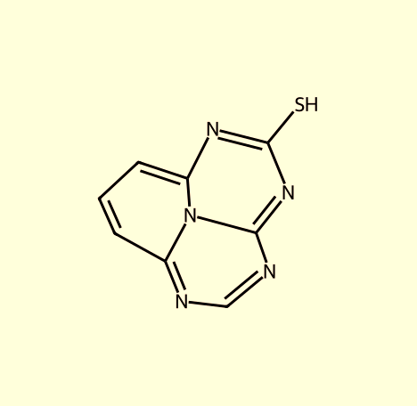 SC1=NC2=CC=CC3=NC=NC(=N1)N23